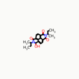 CCC(C)N1C(=O)c2ccc3c4c(ccc(c24)C1=O)C(O)N(C(C)CC)C3=O